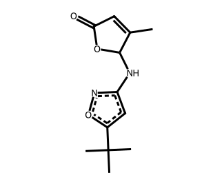 CC1=CC(=O)OC1Nc1cc(C(C)(C)C)on1